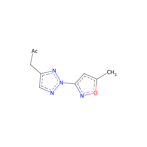 CC(=O)Cc1cnn(-c2cc(C)on2)n1